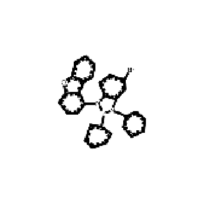 Brc1ccc2c(c1)N(c1ccccc1)P(c1ccccc1)N2c1cccc2oc3ccccc3c12